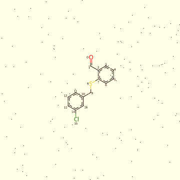 O=Cc1ccccc1SCc1cccc(Cl)c1